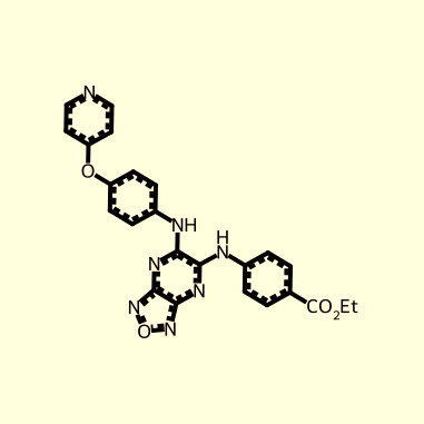 CCOC(=O)c1ccc(Nc2nc3nonc3nc2Nc2ccc(Oc3ccncc3)cc2)cc1